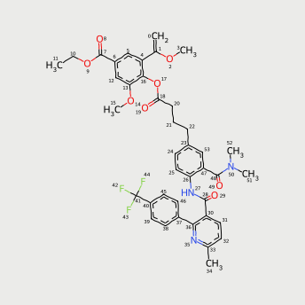 C=C(OC)c1cc(C(=O)OCC)cc(OC)c1OC(=O)CCCc1ccc(NC(=O)c2ccc(C)nc2-c2ccc(C(F)(F)F)cc2)c(C(=O)N(C)C)c1